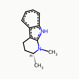 C[C@@H]1CCc2c([nH]c3ccccc23)N1C